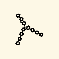 c1ccc(-c2ccc(-c3ccc(-c4ccc5c(c4)c4cc(-c6ccc(-c7ccc(-c8ccccc8)cc7)cc6)ccc4n5-c4ccc5c(c4)Cc4cc(-c6ccccc6)ccc4-5)cc3)cc2)cc1